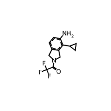 Nc1ccc2c(c1C1CC1)CN(C(=O)C(F)(F)F)C2